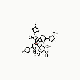 COC1OC(CS(=O)(=O)Oc2cc(-c3cccc(O)c3)ccc2C2C(CCC(O)c3ccc(F)cc3)C(=O)N2c2ccc(F)cc2)C(O)C(O)C1O